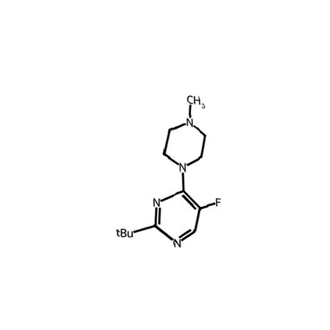 CN1CCN(c2nc(C(C)(C)C)ncc2F)CC1